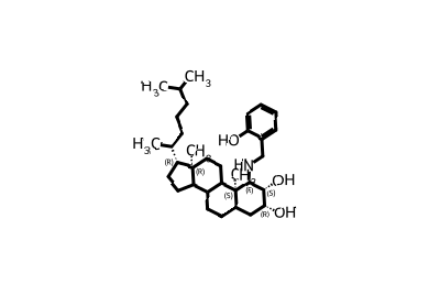 CC(C)CCCC(C)[C@H]1CCC2C3CCC4C[C@@H](O)[C@@H](O)[C@H](NCc5ccccc5O)[C@]4(C)C3CC[C@@]21C